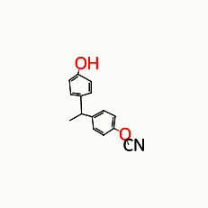 CC(c1ccc(O)cc1)c1ccc(OC#N)cc1